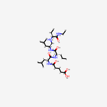 CCC[C@H](NC(=O)[C@H](CC(C)C)NC(=O)CCCC(=O)O)C(=O)N[C@H](CN[C@@H](CC)C(=O)NCC)CC(C)C